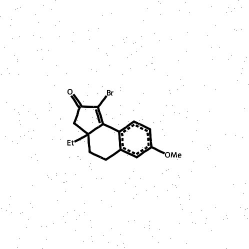 CCC12CCc3cc(OC)ccc3C1=C(Br)C(=O)C2